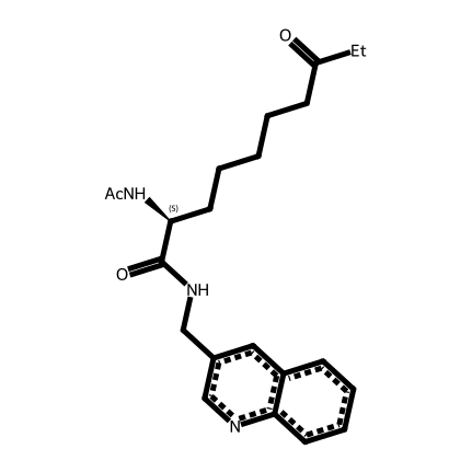 CCC(=O)CCCCC[C@H](NC(C)=O)C(=O)NCc1cnc2ccccc2c1